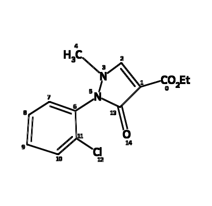 CCOC(=O)c1cn(C)n(-c2ccccc2Cl)c1=O